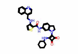 O=C(Nc1ccc2c(c1)N(c1c(NC3CCCCC3)c(=O)c1=O)CC2)c1sccc1NCc1ccnc2ccccc12